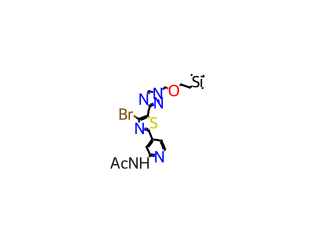 CC(=O)Nc1cc(-c2nc(Br)c(-c3ncn(COCC[Si](C)(C)C)n3)s2)ccn1